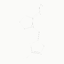 N#C/N=C1\SCCN1Cc1cnc(Cl)s1